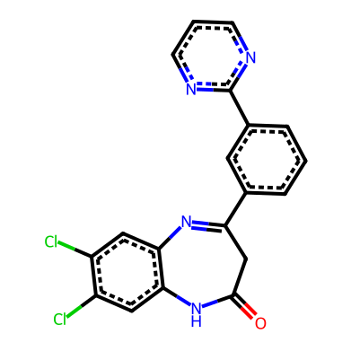 O=C1CC(c2cccc(-c3ncccn3)c2)=Nc2cc(Cl)c(Cl)cc2N1